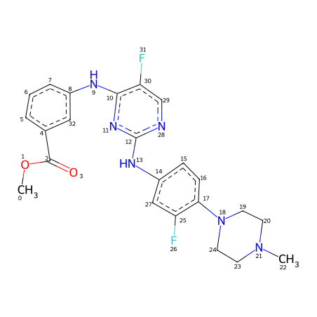 COC(=O)c1cccc(Nc2nc(Nc3ccc(N4CCN(C)CC4)c(F)c3)ncc2F)c1